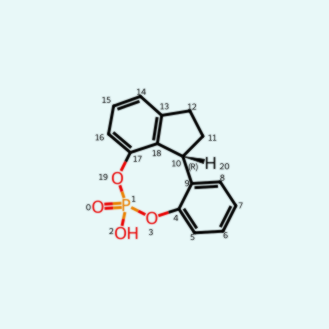 O=P1(O)Oc2ccccc2[C@H]2CCc3cccc(c32)O1